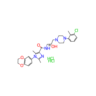 Cc1c(Cl)cccc1N1CCN(C[C@H](O)CNC(=O)c2nc(C)n(-c3ccc4c(c3)OCCO4)c2C)CC1.Cl.Cl